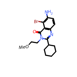 COCCn1c(C2CCCCC2)nc2ccc(N)c(Br)c2c1=O